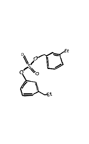 CCc1cccc(OS(=O)(=O)Oc2cccc(CC)c2)c1